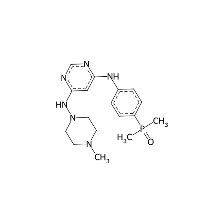 CN1CCN(Nc2cc(Nc3ccc(P(C)(C)=O)cc3)ncn2)CC1